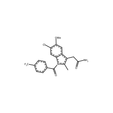 COc1cc2c(CC(N)=O)c(C)n(C(=O)c3ccc(C(F)(F)F)cc3)c2cc1Cl